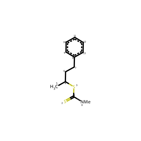 CNC(=S)SC(C)CCc1ccccc1